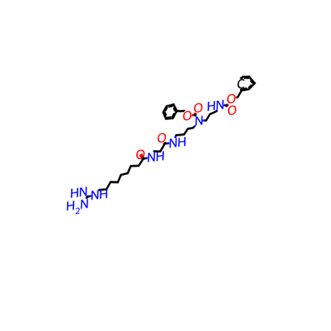 N=C(N)NCCCCCCCCC(=O)NCCC(=O)NCCCCN(CCCNC(=O)OCc1ccccc1)C(=O)OCc1ccccc1